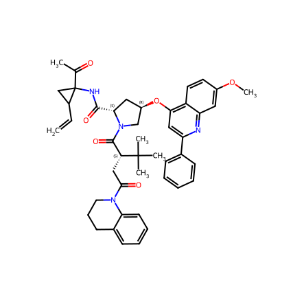 C=CC1CC1(NC(=O)[C@@H]1C[C@@H](Oc2cc(-c3ccccc3)nc3cc(OC)ccc23)CN1C(=O)[C@@H](CC(=O)N1CCCc2ccccc21)C(C)(C)C)C(C)=O